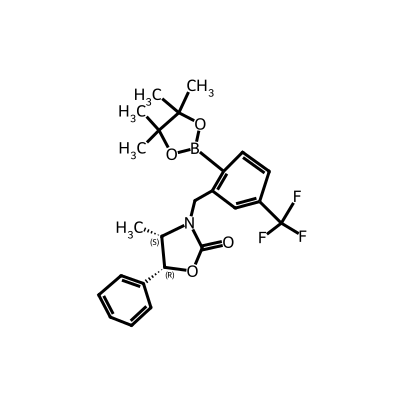 C[C@H]1[C@@H](c2ccccc2)OC(=O)N1Cc1cc(C(F)(F)F)ccc1B1OC(C)(C)C(C)(C)O1